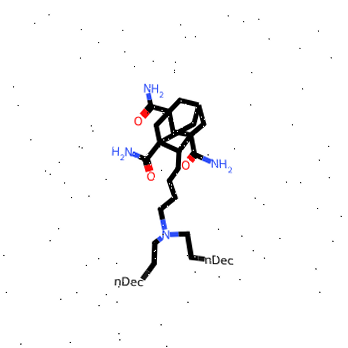 CCCCCCCCCCCCN(CCCCCCCCCCCC)CCCCC1C2(C(N)=O)CC3CC(C(N)=O)(C2)CC1(C(N)=O)C3